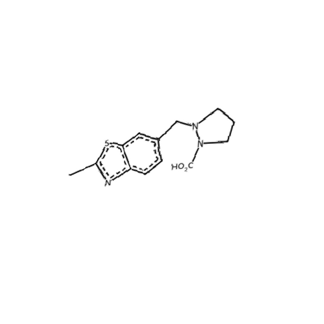 Cc1nc2ccc(CN3CCCN3C(=O)O)cc2s1